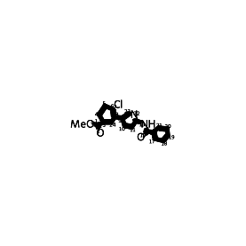 COC(=O)c1ccc(Cl)c(-c2ccc(NC(=O)c3ccccc3)nc2)c1